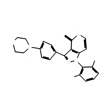 C[C@@H]1COCCN1c1ccc(-c2nn(-c3c(F)cccc3F)c3cc[nH]c(=O)c23)cc1